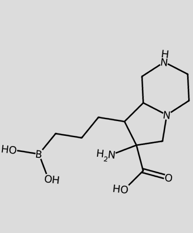 NC1(C(=O)O)CN2CCNCC2C1CCCB(O)O